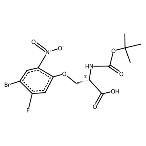 CC(C)(C)OC(=O)N[C@@H](COc1cc(F)c(Br)cc1[N+](=O)[O-])C(=O)O